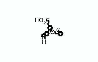 Cc1ccccc1CCOc1ccc(CCC(=O)O)cc1-c1ccc2[nH]ccc2c1